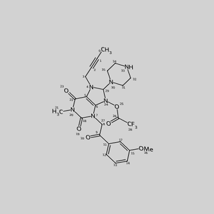 CC#CCN1c2c(n(CC(=O)c3cccc(OC)c3)c(=O)n(C)c2=O)N(OC(=O)C(F)(F)F)C1N1CCNCC1